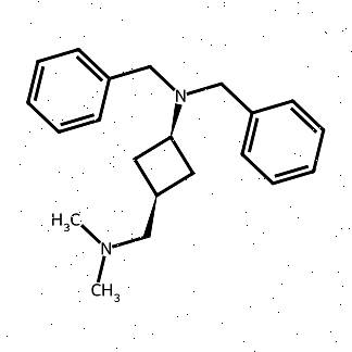 CN(C)C[C@H]1C[C@@H](N(Cc2ccccc2)Cc2ccccc2)C1